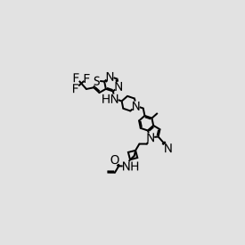 C=CC(=O)NC12CC(CCn3c(C#N)cc4c(C)c(CN5CCC(Nc6ncnc7sc(CC(F)(F)F)cc67)CC5)ccc43)(C1)C2